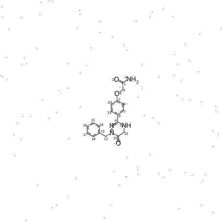 NC(=O)COc1ccc(C2=NN(Cc3ccccc3)C(=O)CN2)cc1